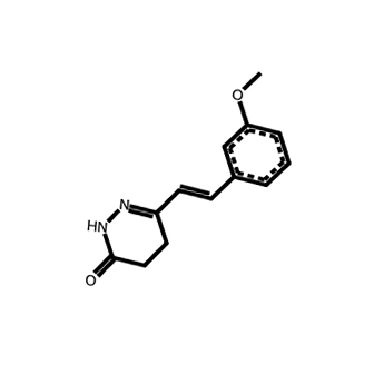 COc1cccc(C=CC2=NNC(=O)CC2)c1